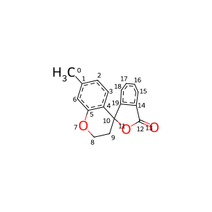 Cc1ccc2c(c1)OCCC21OC(=O)c2ccccc21